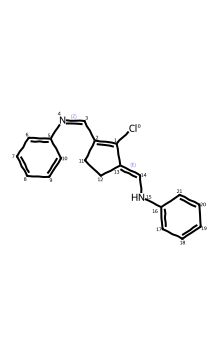 ClC1=C(/C=N\c2ccccc2)CC/C1=C\Nc1ccccc1